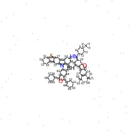 CC(C)(C)c1ccc(Nc2cc3oc4cc5c(cc4c3cc2-c2ccc3c4cc6sc7ccccc7c6cc4n4c3c2Bc2cc3c(-c6ccccc6)oc(-c6ccccc6)c3cc2-4)C(C)(C)CCC5(C)C)cc1